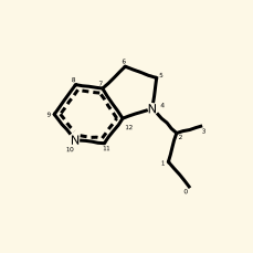 CCC(C)N1CCc2ccncc21